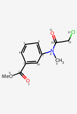 COC(=O)c1cccc(N(C)C(=O)CCl)c1